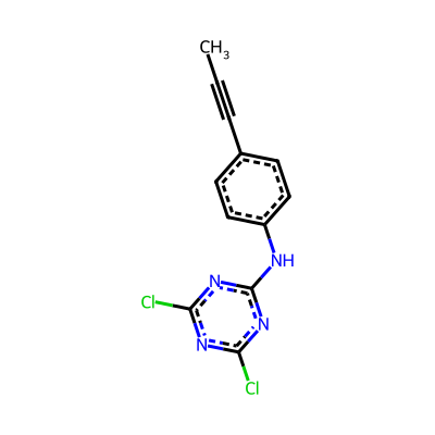 CC#Cc1ccc(Nc2nc(Cl)nc(Cl)n2)cc1